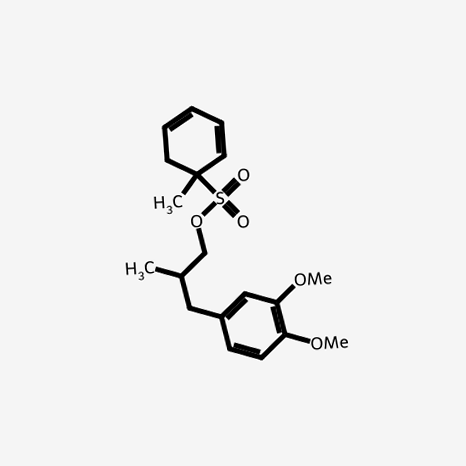 COc1ccc(CC(C)COS(=O)(=O)C2(C)C=CC=CC2)cc1OC